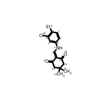 CCc1ccc(NC=C2C(=O)CC(C)(C)CC2=O)cc1Cl